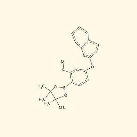 CC1(C)OB(c2ccc(Oc3ccc4ccccc4n3)cc2C=O)OC1(C)C